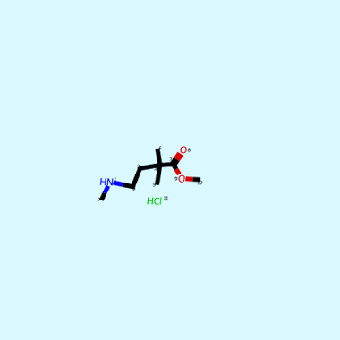 CNCCC(C)(C)C(=O)OC.Cl